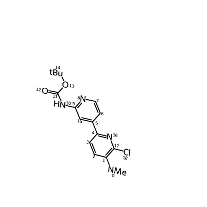 CNc1ccc(-c2ccnc(NC(=O)OC(C)(C)C)c2)nc1Cl